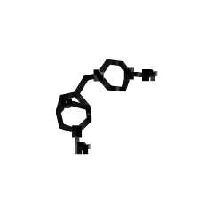 CC(C)N1CCN(CC2CC3CN(C(C)C)CC2O3)CC1